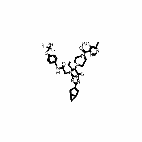 [2H]C([2H])([2H])Sc1ccc(NC(=O)Cn2c(CC)c(N3CCN(C(=O)c4ncnc(C)c4O)CC3)c(=O)n3nc(C4=CC5CC5C4)nc23)cc1